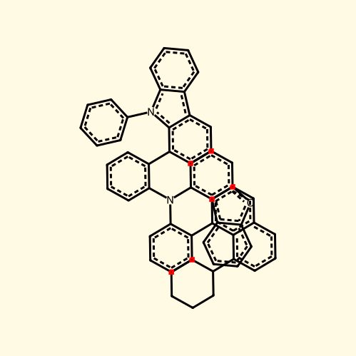 c1ccc(-n2c3ccccc3c3cccc(-c4ccccc4N(c4ccccc4-c4cccc5cccc(C6CCCCC6)c45)c4cccc5oc6ccccc6c45)c32)cc1